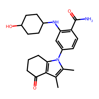 Cc1c2c(n(-c3ccc(C(N)=O)c(NC4CCC(O)CC4)c3)c1C)CCCC2=O